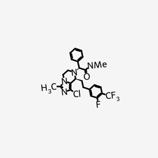 CNC(=O)[C@@H](c1ccccc1)N1CCn2c(C)nc(Cl)c2[C@@H]1CCc1ccc(C(F)(F)F)c(F)c1